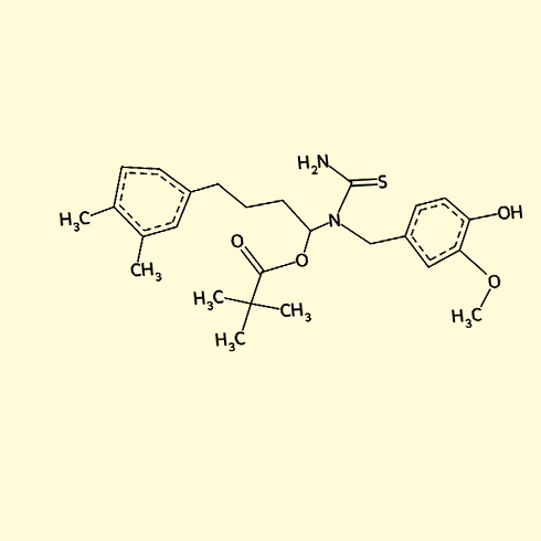 COc1cc(CN(C(N)=S)C(CCCc2ccc(C)c(C)c2)OC(=O)C(C)(C)C)ccc1O